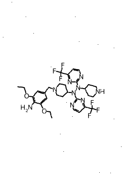 CCOc1cc(CN2CCC(N(c3nccc(C(F)(F)F)n3)N(c3nccc(C(F)(F)F)n3)C3CCNCC3)CC2)cc(OCC)c1N